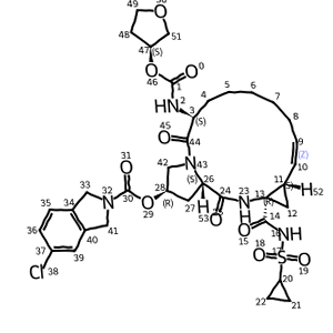 O=C(N[C@H]1CCCCC/C=C\[C@@H]2C[C@@]2(C(=O)NS(=O)(=O)C2CC2)NC(=O)[C@@H]2C[C@@H](OC(=O)N3Cc4ccc(Cl)cc4C3)CN2C1=O)O[C@H]1CCOC1